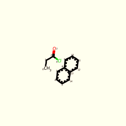 CCC(=O)Cl.c1ccc2ccccc2c1